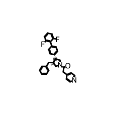 O=C(Cc1ccncc1)N1C[C@@H](Cc2ccccc2)[C@H](c2ccc(-c3c(F)cccc3F)cc2)C1